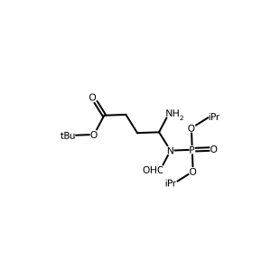 CC(C)OP(=O)(OC(C)C)N(C=O)C(N)CCC(=O)OC(C)(C)C